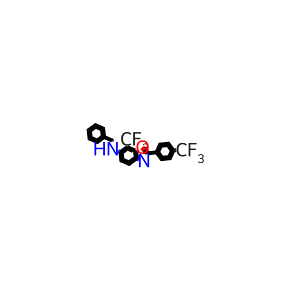 FC(F)(F)c1ccc(-c2nc3ccc(NCc4ccccc4)c(C(F)(F)F)c3o2)cc1